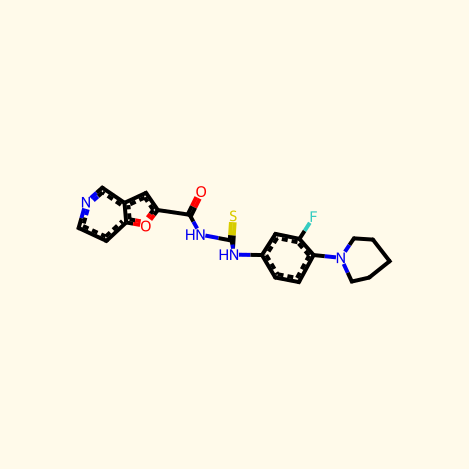 O=C(NC(=S)Nc1ccc(N2CCCCC2)c(F)c1)c1cc2cnccc2o1